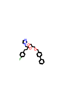 Fc1ccc(CCC2(Cn3ccnc3)OCC(COCc3ccc(-c4ccccc4)cc3)O2)cc1